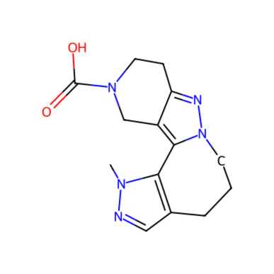 Cn1ncc2c1-c1c3c(nn1CCC2)CCN(C(=O)O)C3